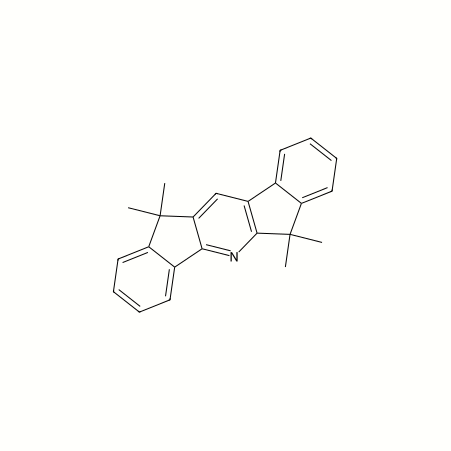 CC1(C)c2ccccc2-c2nc3c(cc21)-c1ccccc1C3(C)C